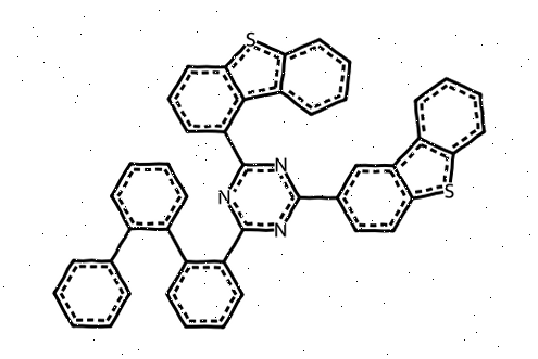 c1ccc(-c2ccccc2-c2ccccc2-c2nc(-c3ccc4sc5ccccc5c4c3)nc(-c3cccc4sc5ccccc5c34)n2)cc1